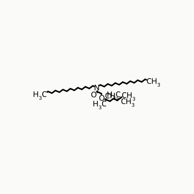 CCCCCCCCCCCCCCN(CCCCCCCCCCCCCC)C(=O)COC(C)(C)CCCC(C)(C)C